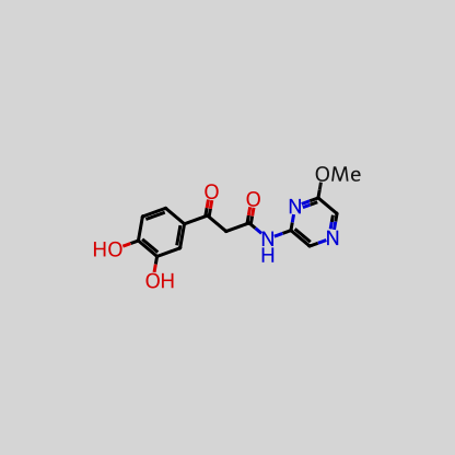 COc1cncc(NC(=O)CC(=O)c2ccc(O)c(O)c2)n1